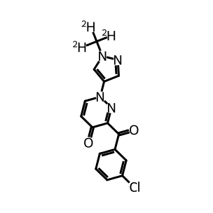 [2H]C([2H])([2H])n1cc(-n2ccc(=O)c(C(=O)c3cccc(Cl)c3)n2)cn1